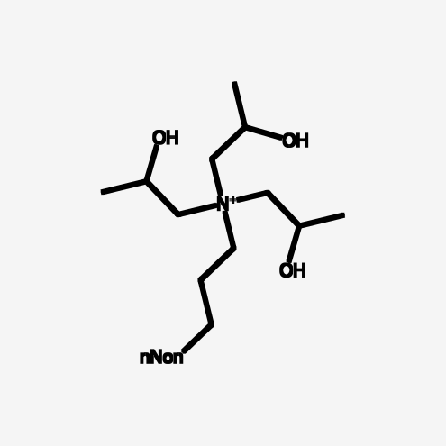 CCCCCCCCCCCC[N+](CC(C)O)(CC(C)O)CC(C)O